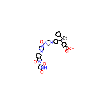 CC/C(=C(\c1ccc(B(O)O)cc1)c1ccc(N2CCN(C(=O)N3CCN(c4ccc5c(c4)CN([C@H]4CCC(=O)NC4=O)C5=O)CC3)CC2)cc1)c1ccccc1